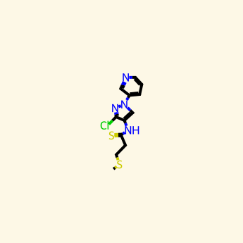 CSCCC(=S)Nc1cn(-c2cccnc2)nc1Cl